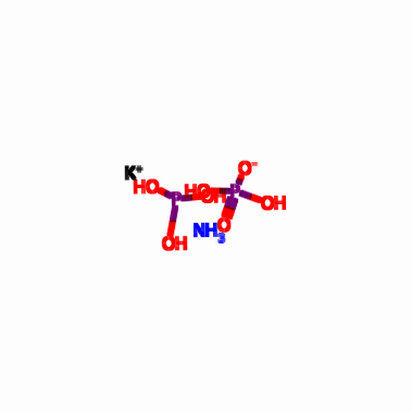 N.O=P([O-])(O)O.OP(O)O.[K+]